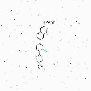 CCCCCc1ccc2cc(-c3ccc(-c4ccc(C(F)(F)F)cc4)c(F)c3)ccc2c1